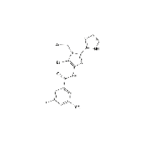 CCc1c(NC(=O)c2cc(F)cc(C(F)(F)F)c2)nc(-c2ncc[nH]2)n1CC(C)=O